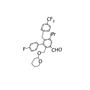 CC(C)c1cc(C=O)c(COC2CCCCO2)c(-c2ccc(F)cc2)c1Cc1ccc(C(F)(F)F)cc1